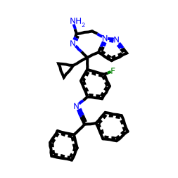 NC1=NC(c2cc(N=C(c3ccccc3)c3ccccc3)ccc2F)(C2CC2)c2ccnn2C1